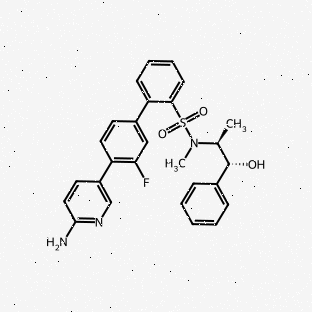 C[C@@H]([C@H](O)c1ccccc1)N(C)S(=O)(=O)c1ccccc1-c1ccc(-c2ccc(N)nc2)c(F)c1